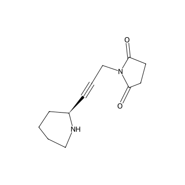 O=C1CCC(=O)N1CC#C[C@@H]1CCCCN1